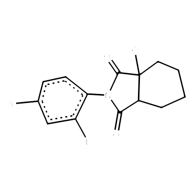 O=C1C2CCCCC2(Cl)C(=O)N1c1ccc(Br)cc1F